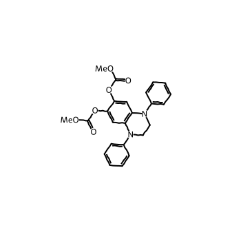 COC(=O)Oc1cc2c(cc1OC(=O)OC)N(c1ccccc1)CCN2c1ccccc1